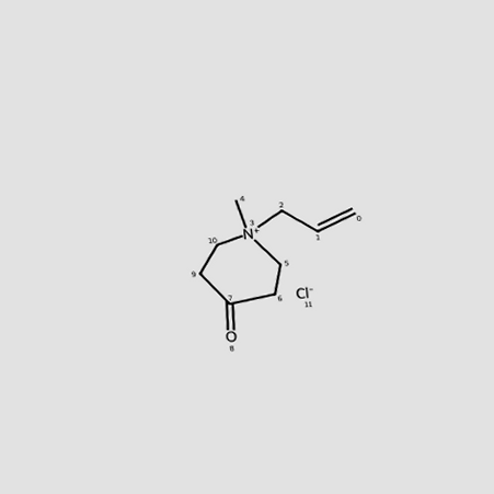 C=CC[N+]1(C)CCC(=O)CC1.[Cl-]